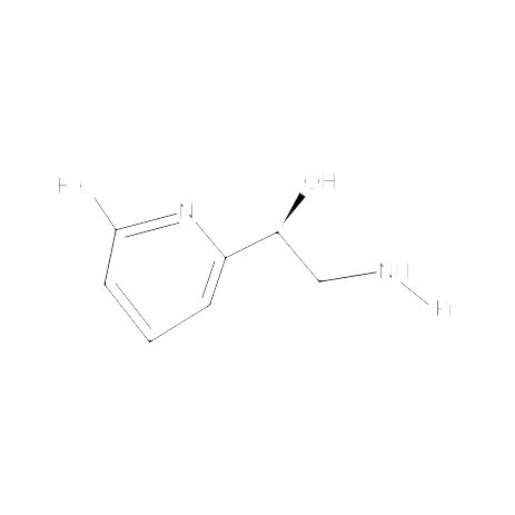 CC(C)NC[C@H](O)c1cccc(C(F)(F)F)n1